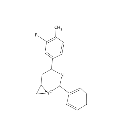 Cc1ccc(C(CC2CC2)NC(C)c2ccccc2)cc1F